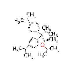 C=C(OC(C)C)C(c1ccc(C(C)C)cc1)(c1ccc(C(C)C)cc1)C(C)C